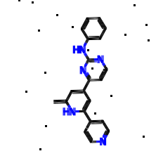 C=C1C=C(c2ccnc(Nc3ccccc3)n2)C=C(c2ccncc2)N1